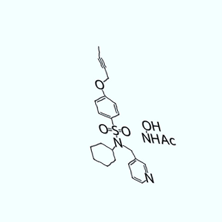 CC#CCOc1ccc(S(=O)(=O)N(Cc2cccnc2)C2CCCCC2)cc1.CC(=O)NO